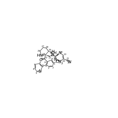 Cc1ccc(-c2ccccn2)c(C(=O)[C@]2(CNc3ncc(C#N)cn3)NCCC[C@H]2C)c1